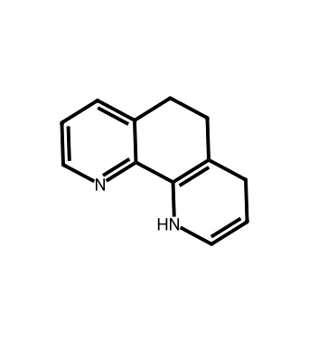 C1=CNC2=C(C1)CCc1cccnc12